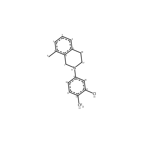 Cc1cccc2c1CN(c1ccc(C(F)(F)F)c(Cl)c1)CC2